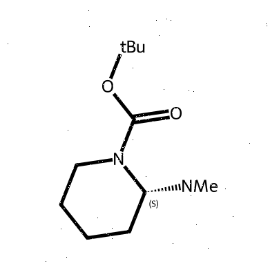 CN[C@@H]1CCCCN1C(=O)OC(C)(C)C